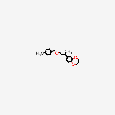 Cc1ccc(COCCC(C)c2ccc3c(c2)OCCCO3)cc1